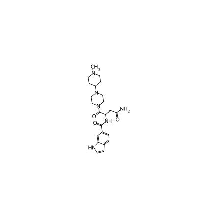 CN1CCC(N2CCN(C(=O)[C@@H](CC(N)=O)NC(=O)c3ccc4cc[nH]c4c3)CC2)CC1